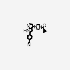 N#Cc1ccc(-c2cc3c(N4CCN(C(=O)C5CC5)CC4)ccnc3[nH]2)cc1